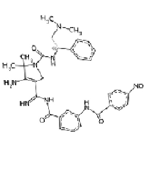 CN(C)C[C@@H](NC(=O)N1CC(C(=N)NC(=O)c2cccc(NC(=O)c3ccc([N+](=O)[O-])cc3)c2)=C(N)C1(C)C)c1ccccc1